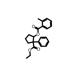 CCOC(=O)C1(c2ccccc2)CCCC1OC(=O)c1ccccc1C